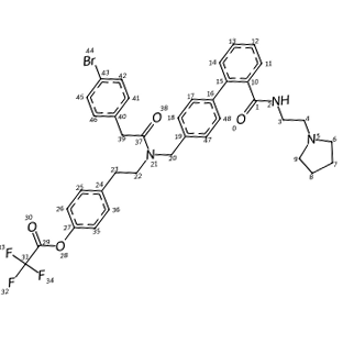 O=C(NCCN1CCCC1)c1ccccc1-c1ccc(CN(CCc2ccc(OC(=O)C(F)(F)F)cc2)C(=O)Cc2ccc(Br)cc2)cc1